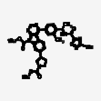 Cc1cc(-c2ncnc3c2c2ccc(C4CCN(C(=O)OC(C)(C)C)C4)cc2n3C(=O)OC(C)(C)C)ccc1[C@@H](C)NC(=O)c1nc(C(C)(C)C)no1